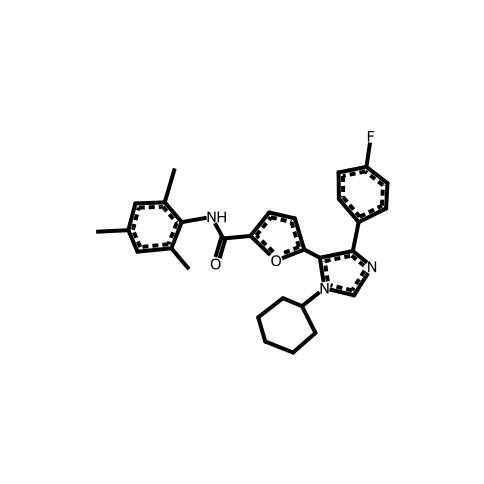 Cc1cc(C)c(NC(=O)c2ccc(-c3c(-c4ccc(F)cc4)ncn3C3CCCCC3)o2)c(C)c1